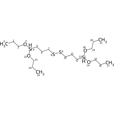 CCCO[SiH](CCCSSCCC[SiH](OCCC)OCCC)OCCC